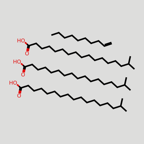 C=CCCCCCCCC.CC(C)CCCCCCCCCCCCCCC(=O)O.CC(C)CCCCCCCCCCCCCCC(=O)O.CC(C)CCCCCCCCCCCCCCC(=O)O